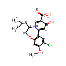 COc1cc2c(cc1Cl)-c1cc(=O)c(C(=O)O)cn1C(CC(C)C)CO2